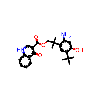 CC(C)(C)c1cc(C(C)(C)COC(=O)c2c[nH]c3ccccc3c2=O)c(N)cc1O